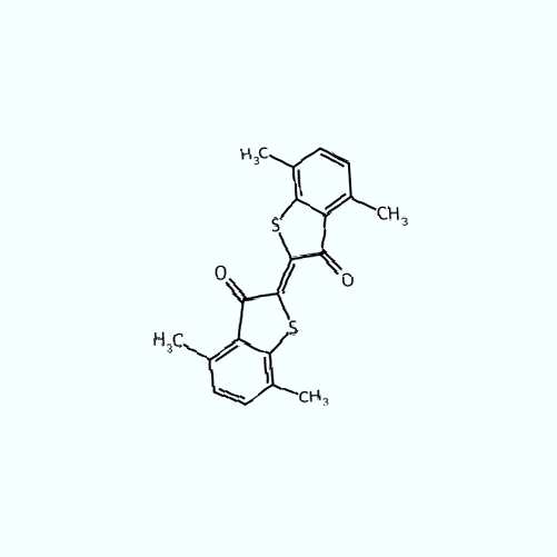 Cc1ccc(C)c2c1S/C(=C1/Sc3c(C)ccc(C)c3C1=O)C2=O